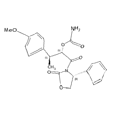 COc1ccc([C@H](C)[C@H](OC(N)=O)C(=O)N2C(=O)OC[C@H]2c2ccccc2)cc1